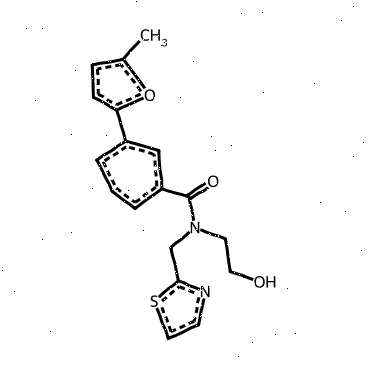 Cc1ccc(-c2cccc(C(=O)N(CCO)Cc3nccs3)c2)o1